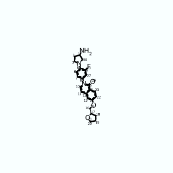 NC1CCN(c2ccc(-n3ccc4cc(OC[C@H]5CCCO5)ccc4c3=O)cc2F)C1